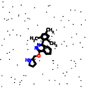 Cc1cc(C)c(-c2nnc(OCC3CCCN3)c3ccccc23)c(C)c1